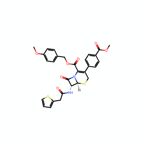 COC(=O)c1ccc(C2=C(C(=O)OCc3ccc(OC)cc3)N3C(=O)[C@@H](NC(=O)Cc4cccs4)[C@@H]3SC2)cc1